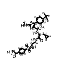 CNc1nc(C(O)N[C@H](CC2CC2)C(=O)NCCNS(=O)(=O)c2ccc(C(N)=O)cc2)c(-c2ccc(C(C)(C)C)cc2)s1